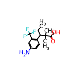 CCC(c1ccc(N)cc1C(F)(F)F)C(C)(C)C(=O)O